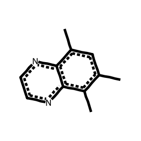 Cc1cc(C)c2nccnc2c1C